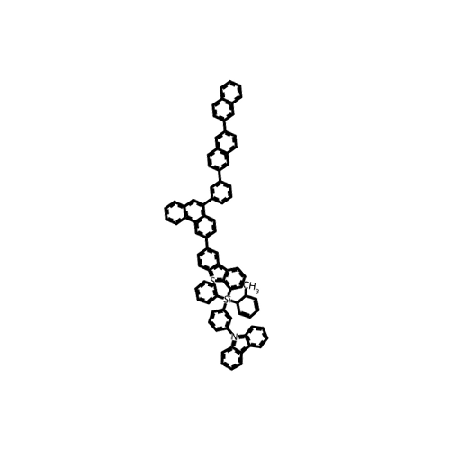 CC1C=CC=CC1[Si](c1ccccc1)(c1cccc(-n2c3ccccc3c3ccccc32)c1)c1cccc2c1sc1ccc(-c3ccc4c(-c5cccc(-c6ccc7cc(-c8ccc9ccccc9c8)ccc7c6)c5)cc5ccccc5c4c3)cc12